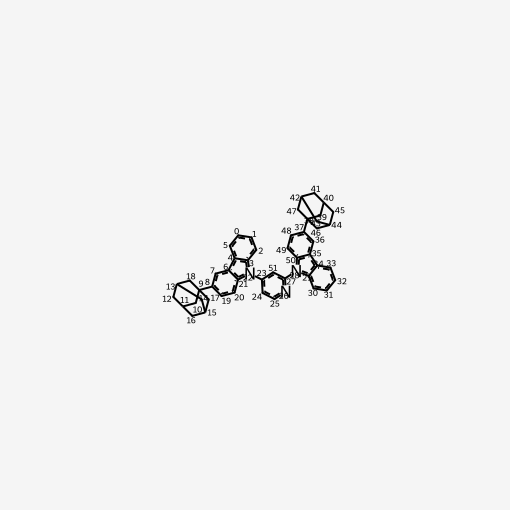 c1ccc2c(c1)c1cc(C34CC5CC(CC(C5)C3)C4)ccc1n2-c1ccnc(-n2c3ccccc3c3cc(C45CC6CC(CC(C6)C4)C5)ccc32)c1